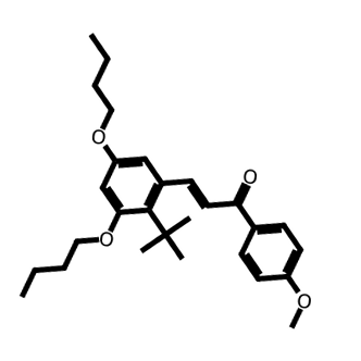 CCCCOc1cc(C=CC(=O)c2ccc(OC)cc2)c(C(C)(C)C)c(OCCCC)c1